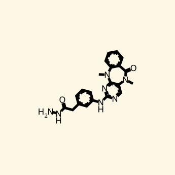 CN1C(=O)c2ccccc2N(C)c2nc(Nc3cccc(CC(=O)NN)c3)ncc21